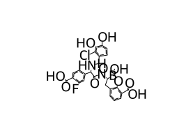 O=C(O)c1ccc(C(NC(=O)c2ccc(O)c(O)c2Cl)C(=O)N[C@H]2Cc3cccc(C(=O)O)c3OB2O)cc1F